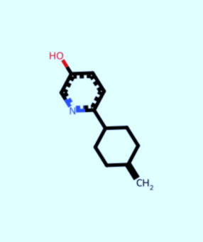 C=C1CCC(c2ccc(O)cn2)CC1